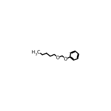 CCCCCOCOc1[c]cccc1